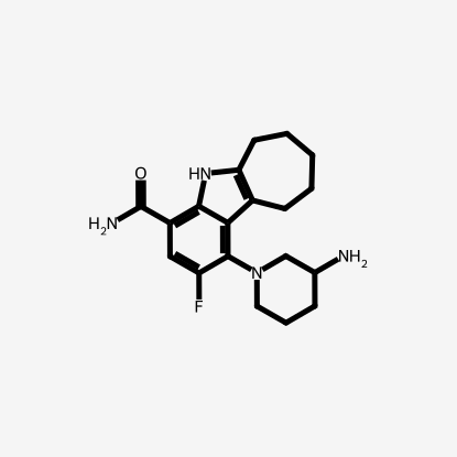 NC(=O)c1cc(F)c(N2CCCC(N)C2)c2c3c([nH]c12)CCCCC3